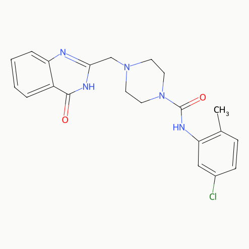 Cc1ccc(Cl)cc1NC(=O)N1CCN(Cc2nc3ccccc3c(=O)[nH]2)CC1